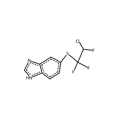 FC(Cl)C(F)(F)Sc1ccc2[nH]cnc2c1